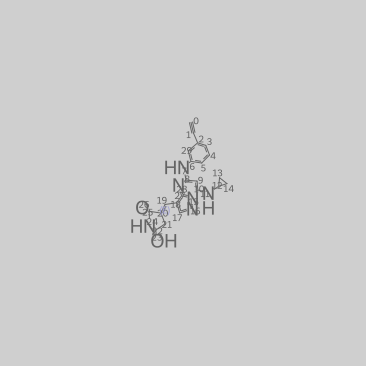 C#Cc1cccc(Nc2cc(NC3CC3)n3ncc(/C=C4\CC(O)NC4=O)c3n2)c1